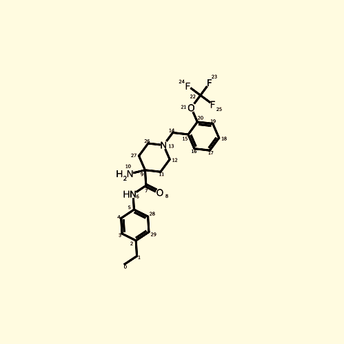 CCc1ccc(NC(=O)C2(N)CCN(Cc3ccccc3OC(F)(F)F)CC2)cc1